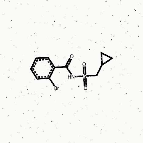 O=C(NS(=O)(=O)CC1CC1)c1ccccc1Br